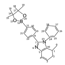 CC1CC=Cc2nc(-c3ccc(B4OC(C)(C)C(C)(C)O4)cc3)n(-c3ccccc3)c21